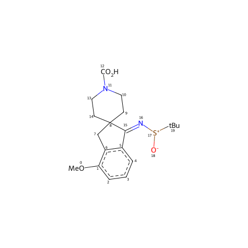 COc1cccc2c1CC1(CCN(C(=O)O)CC1)/C2=N/[S+]([O-])C(C)(C)C